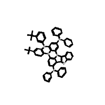 CC(C)(C)c1cccc(N2c3cc(C(C)(C)C)ccc3B3c4c2cc(N(c2ccccc2)c2ccccc2)cc4-n2c4c3ccc(N(c3ccccc3)c3ccccc3)c4c3oc4ccccc4c32)c1